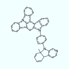 CC12C=CC=CC1c1ccncc1N2c1ccc(-n2c3ccccc3c3c4c5ccccc5n5c6ccccc6c(cc32)c45)cc1